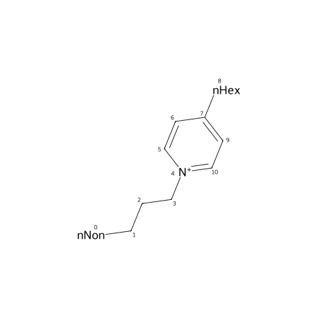 CCCCCCCCCCCC[n+]1ccc(CCCCCC)cc1